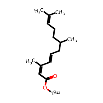 CC(C)=CCCC(C)CC=CC(C)=CC(=O)OC(C)(C)C